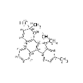 Cc1ccc2c(c1)C(C)(C)c1c3c(c4ccccc4c1-2)C=CC(C)(C)O3